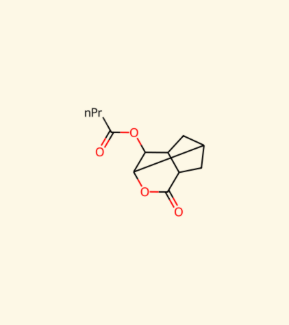 CCCC(=O)OC1C2CC3CC2C(=O)OC31